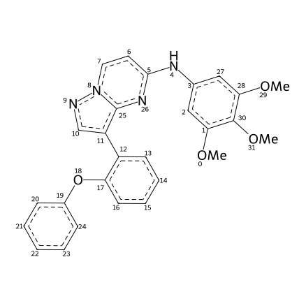 COc1cc(Nc2ccn3ncc(-c4ccccc4Oc4ccccc4)c3n2)cc(OC)c1OC